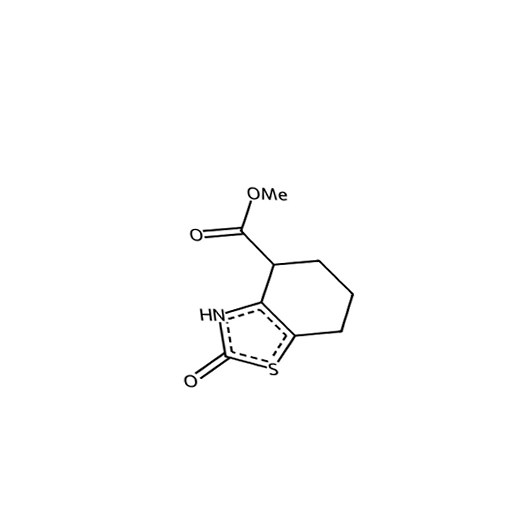 COC(=O)C1CCCc2sc(=O)[nH]c21